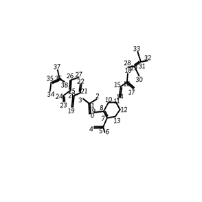 C=C(C)C.C=C(C)C1=C(C)CCCC1.C=CC(=C)C.C=CC=C.C=CC=CC.CC(C)=C(C)C.CC=C(C)C